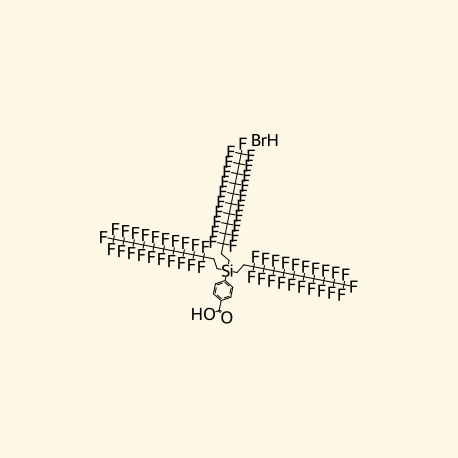 Br.O=C(O)c1ccc([Si](CCC(F)(F)C(F)(F)C(F)(F)C(F)(F)C(F)(F)C(F)(F)C(F)(F)C(F)(F)C(F)(F)C(F)(F)F)(CCC(F)(F)C(F)(F)C(F)(F)C(F)(F)C(F)(F)C(F)(F)C(F)(F)C(F)(F)C(F)(F)C(F)(F)F)CCC(F)(F)C(F)(F)C(F)(F)C(F)(F)C(F)(F)C(F)(F)C(F)(F)C(F)(F)C(F)(F)C(F)(F)F)cc1